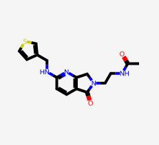 CC(=O)NCCN1Cc2nc(NCc3ccsc3)ccc2C1=O